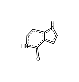 O=c1[nH]ccc2[nH]ccc12